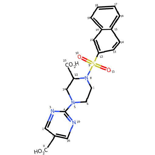 O=C(O)c1cnc(N2CCN(S(=O)(=O)c3ccc4ccccc4c3)C(C(=O)O)C2)nc1